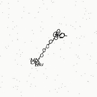 Cc1ccc(S(=O)(=O)OCCOCCOCCOCCOCCNC(=O)OC(C)(C)C)cc1